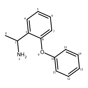 CC(N)c1ccccc1Oc1ccccc1